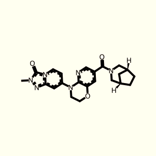 Cn1nc2cc(N3CCOc4cc(C(=O)N5C[C@@H]6CC[C@@H](C6)C5)cnc43)ccn2c1=O